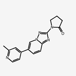 Cc1cc(-c2ccc3nc(N4CCCC4=O)nn3c2)ccn1